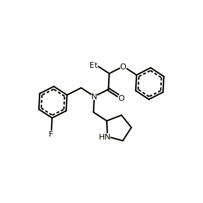 CCC(Oc1ccccc1)C(=O)N(Cc1cccc(F)c1)CC1CCCN1